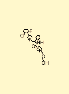 O=C(c1[nH]c2ccccc2c1CN1CCC(c2c(F)cccc2Cl)CC1)N1CCN(CCOCCO)CC1